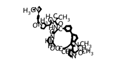 CCn1c(-c2cccnc2[C@H](C)OC)c2c3cc(ccc31)-c1cccc(c1)C[C@H](NC(=O)[C@H](C(C)C)N(C)CC1CCN(C(=O)C#C[C@@H]3CCN3C)C1)C(=O)N1CCC[C@H](N1)C(=O)OCC(C)(C)C2